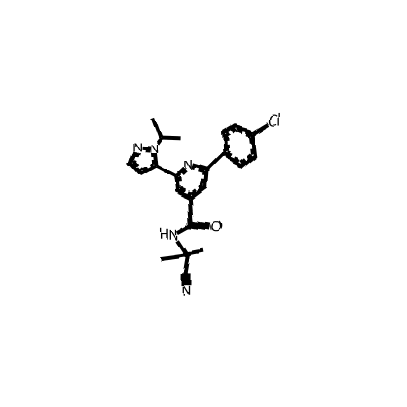 CC(C)n1nccc1-c1cc(C(=O)NC(C)(C)C#N)cc(-c2ccc(Cl)cc2)n1